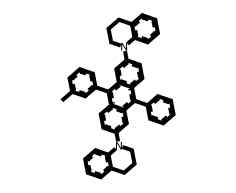 Cc1cccc(-c2c3ccc(N4CCCc5ccccc54)cc3c(-c3ccccc3)c3ccc(N4CCCc5ccccc54)cc23)c1